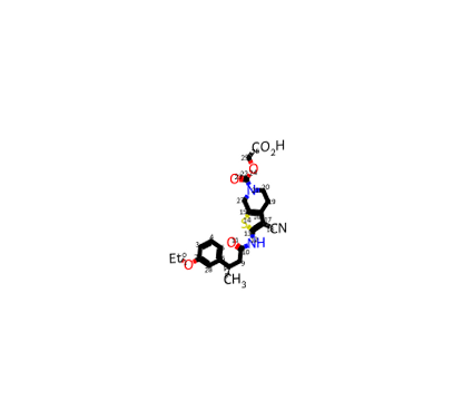 CCOc1cccc([C@@H](C)CC(=O)Nc2sc3c(c2C#N)CCN(C(=O)OCC(=O)O)C3)c1